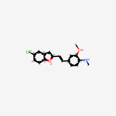 CNc1ccc(C=Cc2cc3cc(Cl)ccc3o2)cc1OC